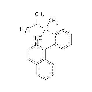 CC(C)C(C)(C)c1ccccc1-c1nccc2ccccc12